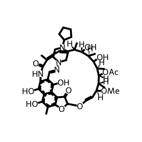 CO[C@H]1/C=C/O[C@@]2(C)Oc3c(C)c(O)c4c(O)c(c(/C=N/N5CCN(C6CCCC6)CC5)c(O)c4c3C2=O)NC(=O)/C(C)=C\C=C\[C@H](C)[C@H](O)[C@@H](C)C(O)[C@@H](C)[C@H](OC(C)=O)[C@@H]1C